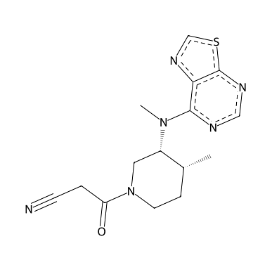 C[C@@H]1CCN(C(=O)CC#N)C[C@@H]1N(C)c1ncnc2scnc12